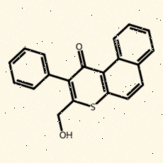 O=c1c(-c2ccccc2)c(CO)sc2ccc3ccccc3c12